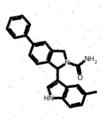 Cc1ccc2[nH]cc(C3c4ccc(-c5ccccc5)cc4CN3C(N)=O)c2c1